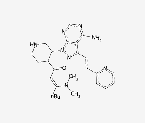 CCCCC(=CC(=O)C1CCNCC1n1nc(C=Cc2ccccn2)c2c(N)ncnc21)N(C)C